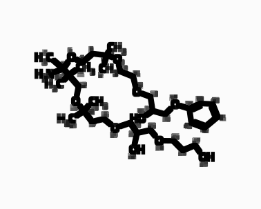 CC(C)(CCOC(C)(N)C(C)(C)COC(C)(C)CCOCC(O)COCCCO)OCCOCC(O)COc1ccccc1